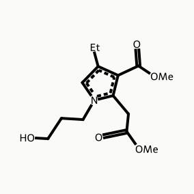 CCc1cn(CCCO)c(CC(=O)OC)c1C(=O)OC